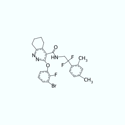 Cc1ccc(C(F)(F)CNC(=O)c2c(Oc3cccc(Br)c3F)nnc3c2CCCC3)c(C)c1